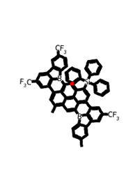 Cc1ccc2c(c1)-c1cc(C(F)(F)F)cc3c1B2c1cc2c(C)cc4c5c(cc6c([Si](c7ccccc7)(c7ccccc7)c7ccccc7)cc-3c1c6c25)B1c2ccc(C(F)(F)F)cc2-c2cc(C(F)(F)F)cc-4c21